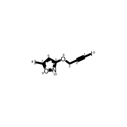 IC#CCOc1cc(I)on1